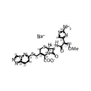 CO/N=C(\C(=O)N[C@@H]1C(=O)N2C(C(=O)[O-])=C(CSc3ccc4nncn4n3)CS[C@@H]12)c1csc(N)n1.[Na+]